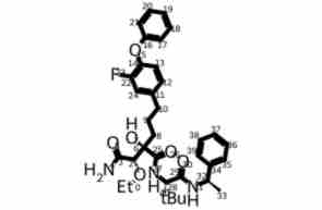 CCO[C@H](C(N)=O)[C@](O)(CCCc1ccc(Oc2ccccc2)c(F)c1)C(=O)N[C@H](C(=O)N[C@H](C)c1ccccc1)C(C)(C)C